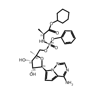 C[C@H](N[P@@](=O)(OC[C@@]1(C)O[C@@H](c2ccc3c(N)ncnn23)[C@H](O)[C@@H]1O)Oc1ccccc1)C(=O)OC1CCCCC1